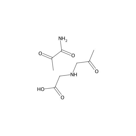 CC(=O)C(N)=O.CC(=O)CNCC(=O)O